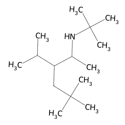 CC(C)C(CC(C)(C)C)C(C)NC(C)(C)C